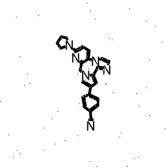 N#Cc1ccc(-c2cc3n(c2)Cc2nc(N4CCCC4)ccc2-n2ccnc2-3)cc1